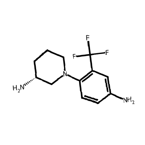 Nc1ccc(N2CCC[C@@H](N)C2)c(C(F)(F)F)c1